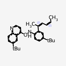 C/C=C\C=C(\C)c1cc(C(C)(C)C)ccc1NOc1ccnc2ccc(C(C)(C)C)cc12